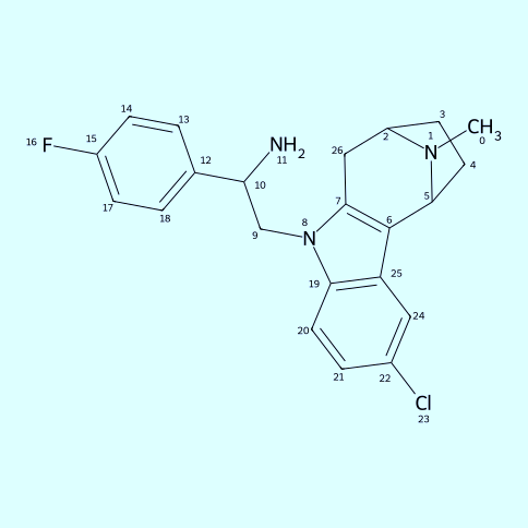 CN1C2CCC1c1c(n(CC(N)c3ccc(F)cc3)c3ccc(Cl)cc13)C2